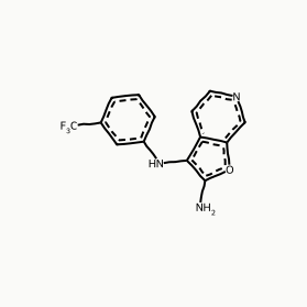 Nc1oc2cnccc2c1Nc1cccc(C(F)(F)F)c1